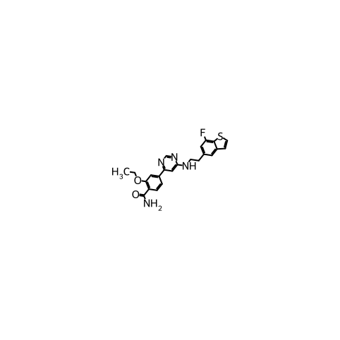 CCOc1cc(-c2cc(NCCc3cc(F)c4sccc4c3)ncn2)ccc1C(N)=O